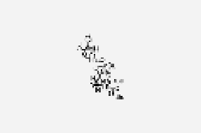 CCCCC(NC(=O)[C@@H]1[C@H]2[C@@H](CN1C(=O)[C@@H](NC(=O)OC(C)(C)C)C(C)(C)C)C2(C)C)C(=O)C(=O)NCC(=O)N[C@H](C(=O)N(C)C)c1ccsc1